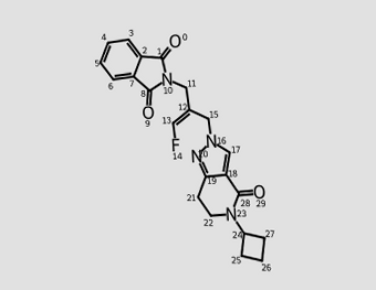 O=C1c2ccccc2C(=O)N1CC(=CF)Cn1cc2c(n1)CCN(C1CCC1)C2=O